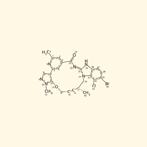 Cc1cc2cc(n1)-c1cnn(C)c1OCCC[C@@H](C)CN1/C(=N/C2=O)Nc2ccc(Br)c(Cl)c21